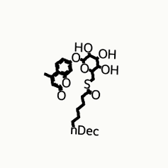 CCCCCCCCCCCCCCCC(=O)SCC1OC(Oc2ccc3c(C)cc(=O)oc3c2)C(O)C(O)C1O